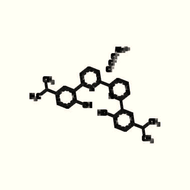 CC(C)c1ccc(O)c(-c2cccc(-c3cccc(-c4cc(C(C)C)ccc4O)n3)n2)c1.[Cl-].[Cl-].[Cl-].[Mn+3]